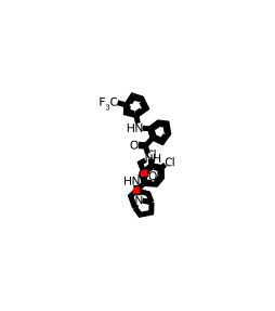 O=C(CNC(=O)c1ccccc1Nc1cccc(C(F)(F)F)c1)NC1CC2CCC(C1)N2Cc1ccc(Cl)c(Cl)c1